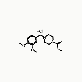 COc1ccc(CN2CCN(C(=S)SC)CC2)cc1OC.Cl